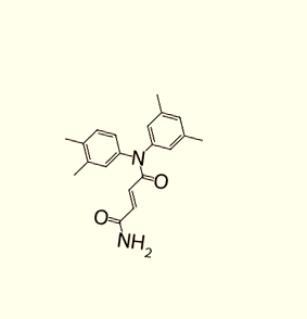 Cc1cc(C)cc(N(C(=O)C=CC(N)=O)c2ccc(C)c(C)c2)c1